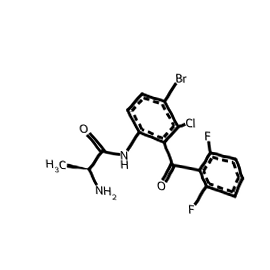 C[C@H](N)C(=O)Nc1ccc(Br)c(Cl)c1C(=O)c1c(F)cccc1F